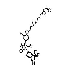 CC(=O)COCCCCOCCCOc1ccc(N2C(=S)N(c3ccc(C#N)c(C(F)(F)F)c3)C(=O)C2(C)C)cc1F